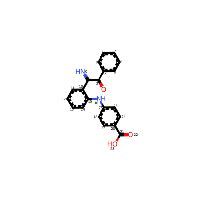 N=C(C(=O)c1ccccc1)c1ccccc1Nc1ccc(C(=O)O)cc1